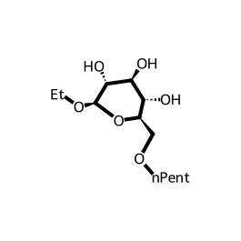 CCCCCOC[C@H]1O[C@@H](OCC)[C@H](O)[C@@H](O)[C@@H]1O